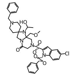 COCC12CN(S(=O)(=O)c3cc4cc(Cl)ccc4n3S(=O)(=O)c3ccccc3)CC(=O)N1CC1(CCN(Cc3ccccc3)CC1)N2C(C)O